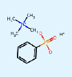 C[N+](C)(C)C.O=P([O-])([O-])c1ccccc1.[H+]